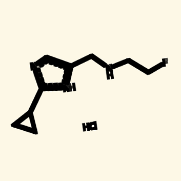 Cl.FCCNCc1cnc(C2CC2)[nH]1